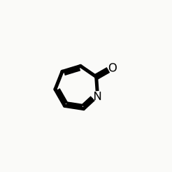 O=C1C=CC=C=C=N1